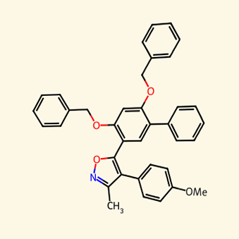 COc1ccc(-c2c(C)noc2-c2cc(-c3ccccc3)c(OCc3ccccc3)cc2OCc2ccccc2)cc1